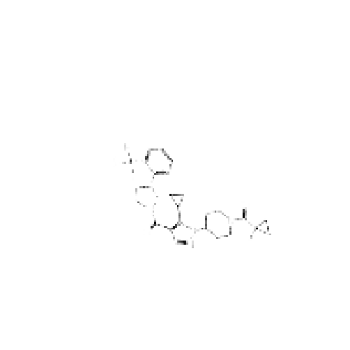 CC1(C(=O)N2CCC(n3ncc(C(=O)N4CC[C@@H](c5ccccc5C(F)(F)F)C4)c3C3CC3)CC2)CC1